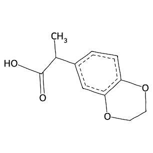 CC(C(=O)O)c1ccc2c(c1)OCCO2